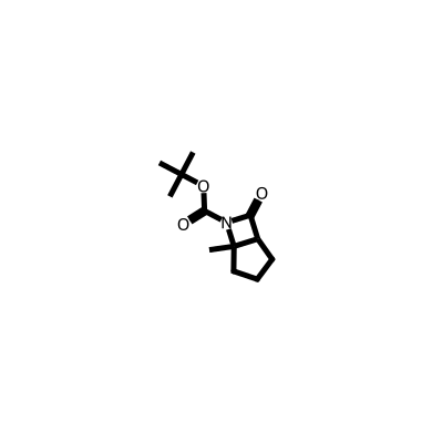 CC(C)(C)OC(=O)N1C(=O)C2CCCC21C